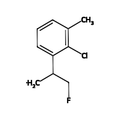 [CH2]C(CF)c1cccc(C)c1Cl